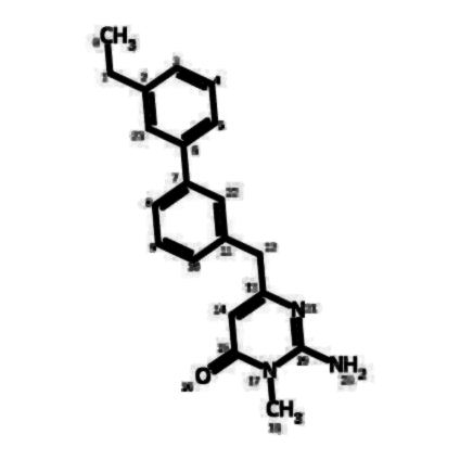 CCc1cccc(-c2cccc(Cc3cc(=O)n(C)c(N)n3)c2)c1